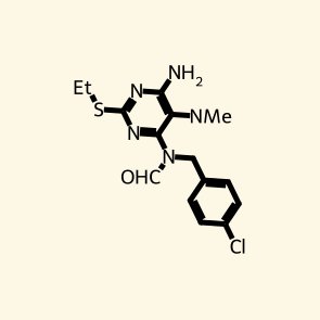 CCSc1nc(N)c(NC)c(N(C=O)Cc2ccc(Cl)cc2)n1